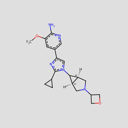 Nc1ncc(-c2cn(C3[C@H]4CN(C5COC5)C[C@@H]34)c(C3CC3)n2)cc1OC(F)(F)F